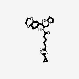 O=C(CCCCc1nc(C2CC2)no1)N[C@H](CN1CCCC1)[C@H](O)c1ccc2c(c1)OCCO2